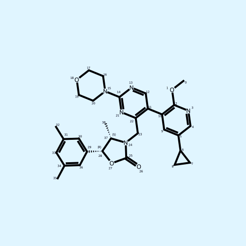 COc1ncc(C2CC2)cc1-c1cnc(N2CCOCC2)nc1CN1C(=O)O[C@H](c2cc(C)cc(C)c2)[C@@H]1C